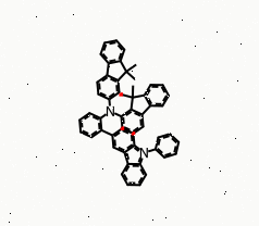 CC1(C)c2ccccc2-c2ccc(N(c3ccccc3-c3ccc4c(c3)c3ccccc3n4-c3ccccc3)c3cccc4c3C(C)(C)c3ccccc3-4)cc21